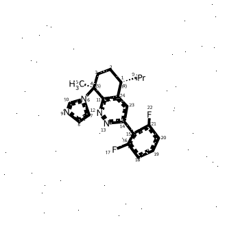 CC(C)[C@H]1CC[C@](C)(n2ccnc2)c2nnc(-c3c(F)cccc3F)cc21